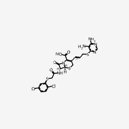 Nc1ncnc(SC/C=C/C2=C(C(=O)O)N3C(=O)[C@@H](NC(=O)CSc4cc(Cl)ccc4Cl)[C@H]3SC2)c1N